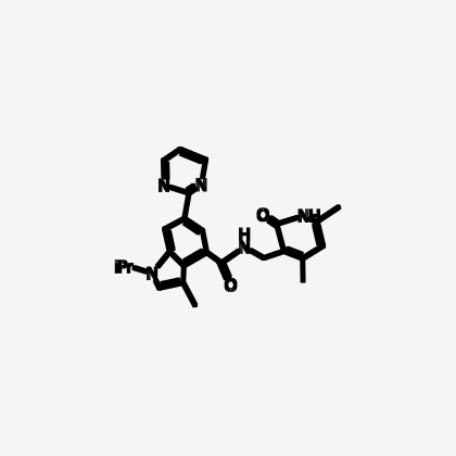 Cc1cc(C)c(CNC(=O)c2cc(-c3ncccn3)cc3c2c(C)cn3C(C)C)c(=O)[nH]1